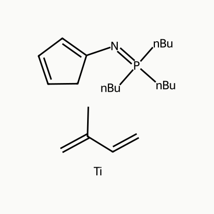 C=CC(=C)C.CCCCP(CCCC)(CCCC)=NC1=CC=CC1.[Ti]